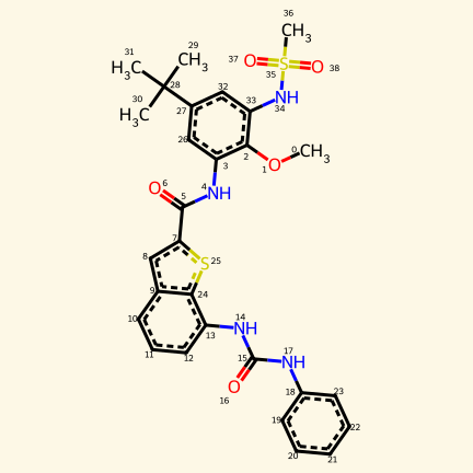 COc1c(NC(=O)c2cc3cccc(NC(=O)Nc4ccccc4)c3s2)cc(C(C)(C)C)cc1NS(C)(=O)=O